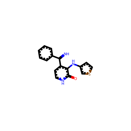 N=C(c1ccccc1)c1cc[nH]c(=O)c1Nc1ccsc1